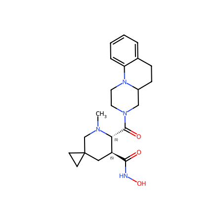 CN1CC2(CC2)C[C@H](C(=O)NO)[C@H]1C(=O)N1CCN2c3ccccc3CCC2C1